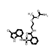 CC(OCCNC(=O)c1ccccc1S(=O)(=O)Nc1cccc2c(Cl)c[nH]c12)OC(N)=O